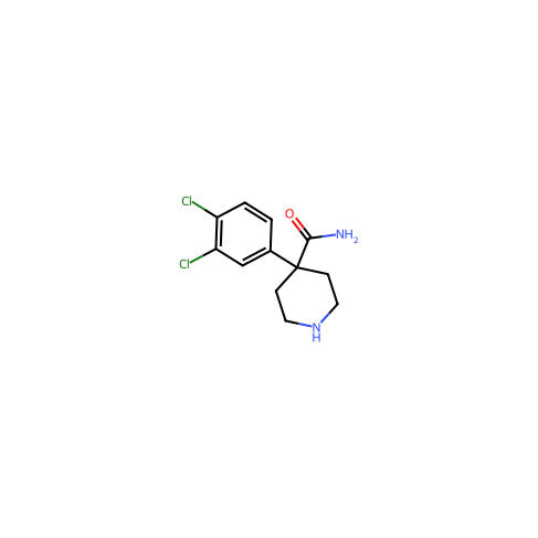 NC(=O)C1(c2ccc(Cl)c(Cl)c2)CCNCC1